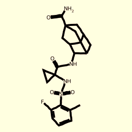 Cc1cccc(F)c1S(=O)(=O)NC1(C(=O)NC2C3CC4CC2CC(C(N)=O)(C4)C3)CC1